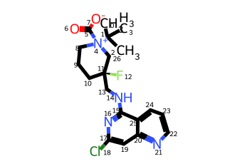 CC(C)(C)[N+]1(C(=O)[O-])CCC[C@@](F)(CNc2nc(Cl)cc3ncccc23)C1